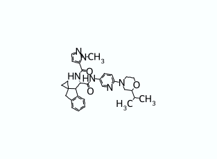 CC(C)C1CN(c2ccc(NC(=O)[C@@H](NC(=O)c3ccnn3C)C3c4ccccc4CC34CC4)cn2)CCO1